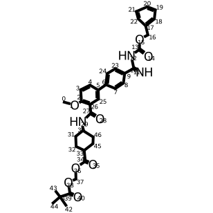 COc1ccc(-c2ccc(C(=N)NC(=O)OCc3ccccc3)cc2)cc1C(=O)NC1CCC(C(=O)OCOC(=O)C(C)(C)C)CC1